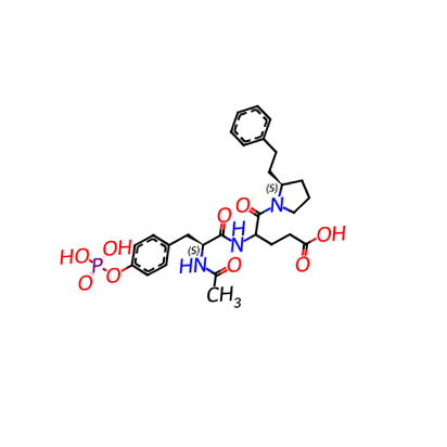 CC(=O)N[C@@H](Cc1ccc(OP(=O)(O)O)cc1)C(=O)NC(CCC(=O)O)C(=O)N1CCC[C@@H]1CCc1ccccc1